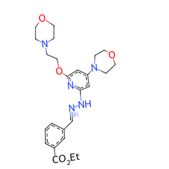 CCOC(=O)c1cccc(/C=N/Nc2cc(N3CCOCC3)cc(OCCN3CCOCC3)n2)c1